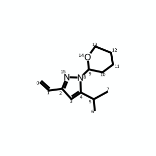 C=Cc1cc(C(C)C)n(C2CCCCO2)n1